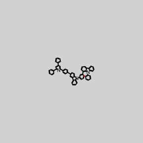 c1ccc(-c2cc(-c3ccccc3)nc(-c3ccc(-c4ccc5c(c4)c4ccccc4n5-c4cccc(-c5cccc6c7ccccc7n(-c7ccccc7)c56)c4)cc3)c2)cc1